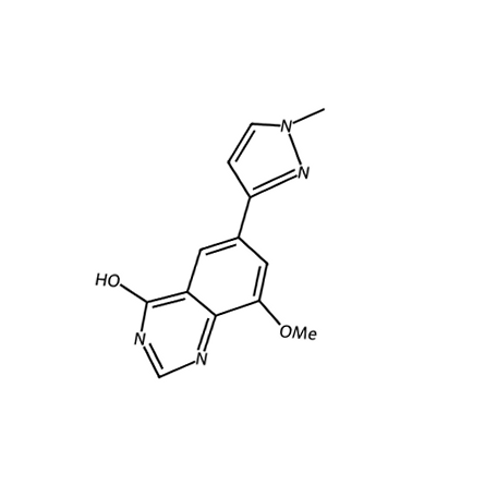 COc1cc(-c2ccn(C)n2)cc2c(O)ncnc12